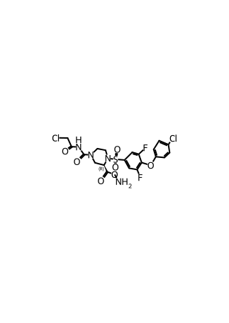 NOC(=O)[C@H]1CN(C(=O)NC(=O)CCl)CCN1S(=O)(=O)c1cc(F)c(Oc2ccc(Cl)cc2)c(F)c1